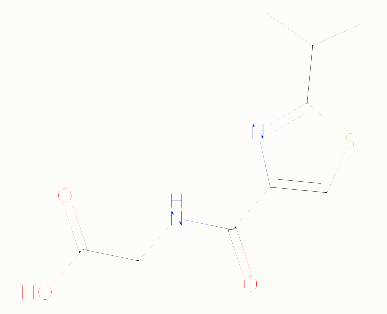 CC(C)c1nc(C(=O)NCC(=O)O)cs1